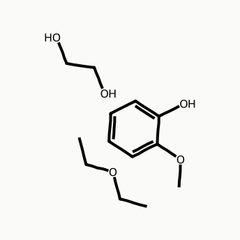 CCOCC.COc1ccccc1O.OCCO